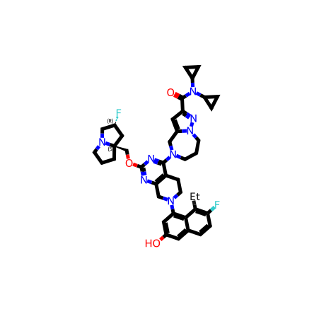 CCc1c(F)ccc2cc(O)cc(N3CCc4c(nc(OC[C@@]56CCCN5C[C@H](F)C6)nc4N4CCCn5nc(C(=O)N(C6CC6)C6CC6)cc5C4)C3)c12